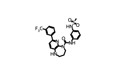 CS(=O)(=O)Nc1cccc(NC(=O)N2CCCNc3ccc(-c4cccc(C(F)(F)F)c4)nc32)c1